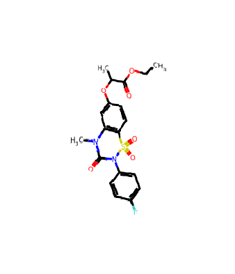 CCOC(=O)C(C)Oc1ccc2c(c1)N(C)C(=O)N(c1ccc(F)cc1)S2(=O)=O